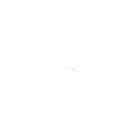 CC(C)(C)C(C(=O)O)n1cc(B2OC(C)(C)C(C)(C)O2)cn1